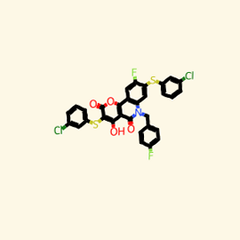 O=c1oc2c(c(O)c1Sc1cccc(Cl)c1)c(=O)n(Cc1ccc(F)cc1)c1cc(Sc3cccc(Cl)c3)c(F)cc21